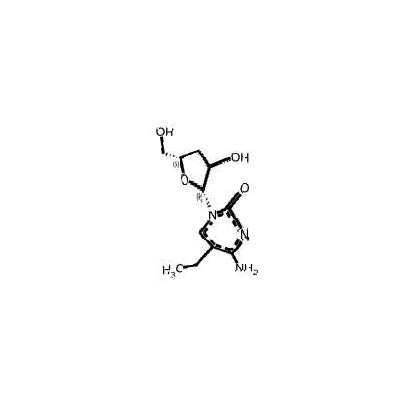 CCc1cn([C@@H]2O[C@H](CO)CC2O)c(=O)nc1N